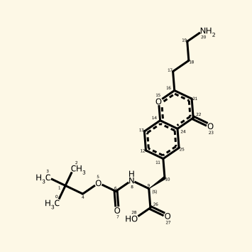 CC(C)(C)COC(=O)N[C@@H](Cc1ccc2oc(CCCN)cc(=O)c2c1)C(=O)O